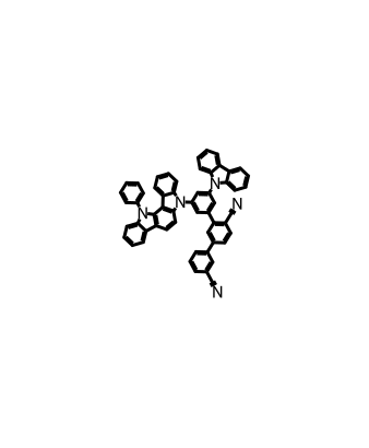 N#Cc1cccc(-c2ccc(C#N)c(-c3cc(-n4c5ccccc5c5ccccc54)cc(-n4c5ccccc5c5c4ccc4c6ccccc6n(-c6ccccc6)c45)c3)c2)c1